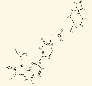 CC(C)n1c(=O)n(C)c2nnc3ccc(-c4ccc(COCCN5CCC6(CCC6)CC5)nc4)cc3c21